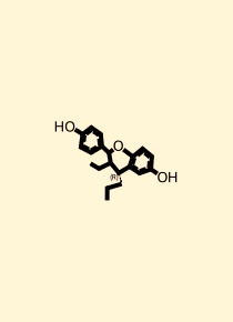 CCC[C@H]1c2cc(O)ccc2OC(c2ccc(O)cc2)C1CC